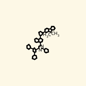 CC1(C)c2ccccc2-c2ccc(-c3cccc(-c4ccc(-c5cc(-c6cc(-c7ccccc7)cc(-c7ccccc7)c6)nc(-c6ccccc6)n5)c5ccccc45)c3)cc21